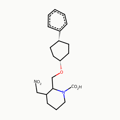 O=C(O)N1CCCC(C[N+](=O)[O-])C1CO[C@H]1CC[C@@H](c2ccccc2)CC1